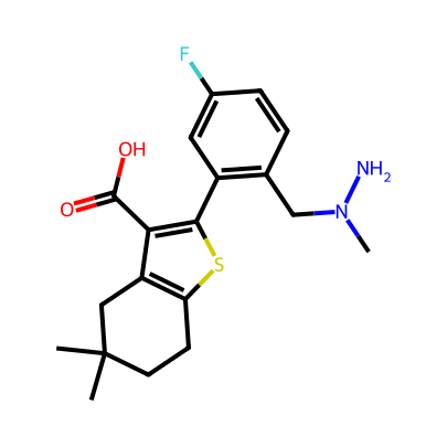 CN(N)Cc1ccc(F)cc1-c1sc2c(c1C(=O)O)CC(C)(C)CC2